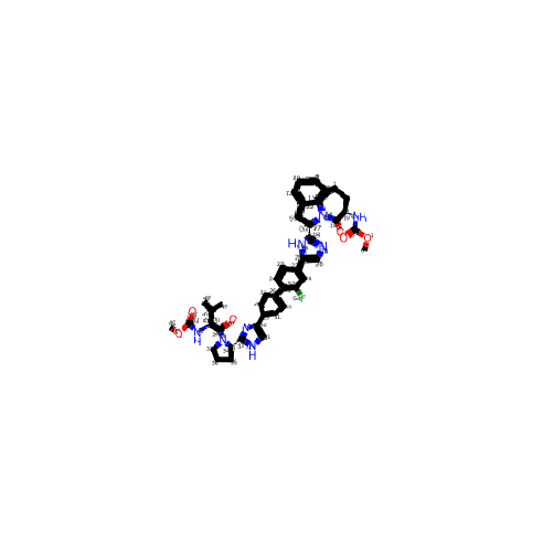 COC(=O)N[C@H]1CCc2cccc3c2N(C1=O)[C@H](c1ncc(-c2ccc(-c4ccc(-c5c[nH]c([C@@H]6CCCN6C(=O)[C@@H](NC(=O)OC)C(C)C)n5)cc4)c(F)c2)[nH]1)C3